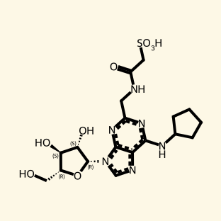 O=C(CS(=O)(=O)O)NCc1nc(NC2CCCC2)c2ncn([C@@H]3O[C@H](CO)[C@@H](O)[C@@H]3O)c2n1